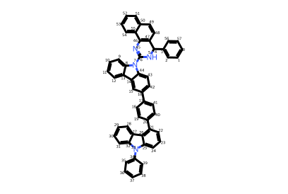 c1ccc(C2NC(n3c4ccccc4c4cc(-c5ccc(-c6cccc7c6c6ccccc6n7-c6ccccc6)cc5)ccc43)=Nc3c2ccc2ccccc32)cc1